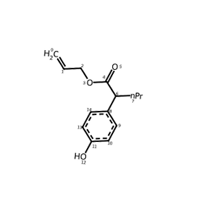 C=CCOC(=O)C(CCC)c1ccc(O)cc1